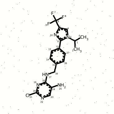 CC(C)n1cc(C(F)(F)F)nc1-c1ccc(CNc2nc(Cl)ncc2N)cc1